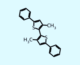 Cc1cc(-c2ccccc2)sc1-c1sc(-c2ccccc2)cc1C